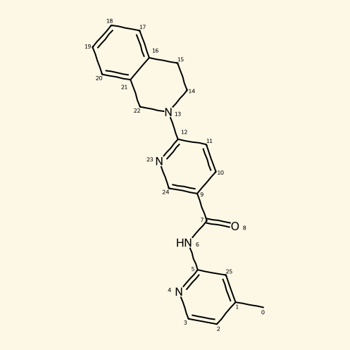 Cc1ccnc(NC(=O)c2ccc(N3CCc4ccccc4C3)nc2)c1